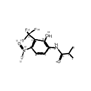 CC(C)C(=O)Nc1ccc([N+](=O)[O-])c(C(F)(F)F)c1O